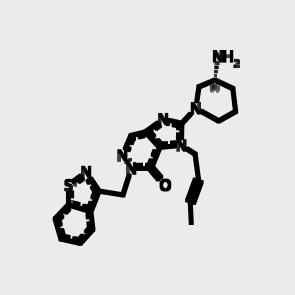 CC#CCn1c(N2CCC[C@@H](N)C2)nc2cnn(Cc3nsc4ccccc34)c(=O)c21